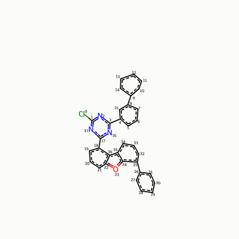 Clc1nc(-c2cccc(-c3ccccc3)c2)nc(-c2cccc3oc4c(-c5ccccc5)cccc4c23)n1